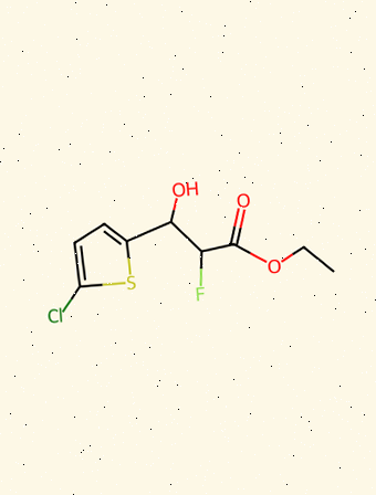 CCOC(=O)C(F)C(O)c1ccc(Cl)s1